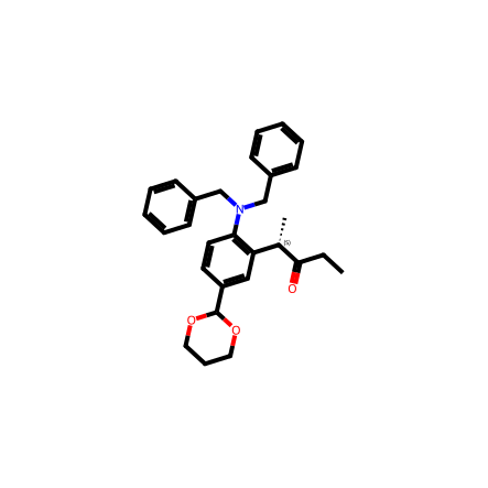 CCC(=O)[C@@H](C)c1cc(C2OCCCO2)ccc1N(Cc1ccccc1)Cc1ccccc1